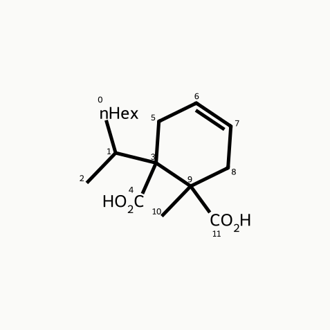 CCCCCCC(C)C1(C(=O)O)CC=CCC1(C)C(=O)O